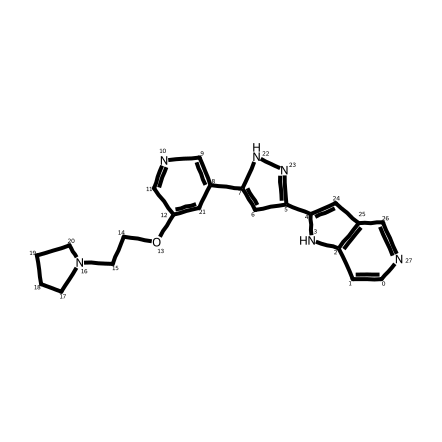 c1cc2[nH]c(-c3cc(-c4cncc(OCCN5CCCC5)c4)[nH]n3)cc2cn1